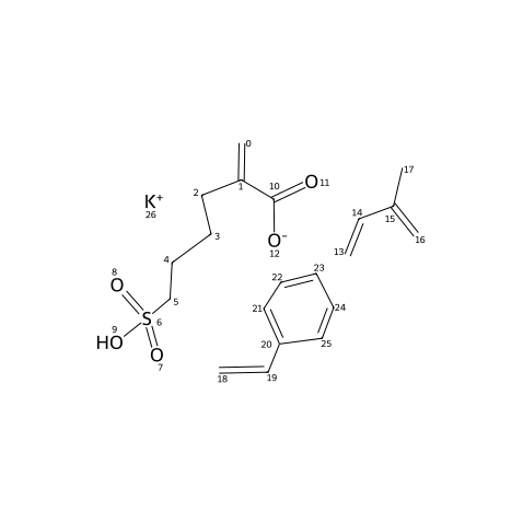 C=C(CCCCS(=O)(=O)O)C(=O)[O-].C=CC(=C)C.C=Cc1ccccc1.[K+]